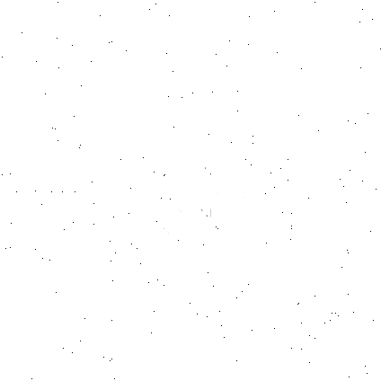 S=C1[N]c2ccccc2C(=S)N1